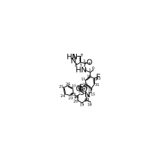 CC(NC(=O)c1cn[nH]c1)c1cc(F)c(CN2[C@@H](C)CC[C@H](c3ccccc3)S2(=O)=O)cc1F